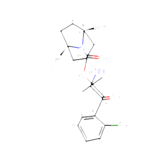 CC(C)(C)OC(=O)N1[C@@H]2CC[C@H]1C[C@@H](NCC(=O)c1ccccc1F)C2